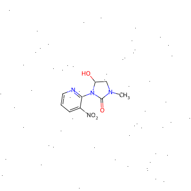 CN1CC(O)N(c2ncccc2[N+](=O)[O-])C1=O